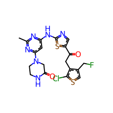 Cc1nc(Nc2ncc(C(=O)Cc3c(CF)csc3Cl)s2)cc(N2CCNC(=O)C2)n1